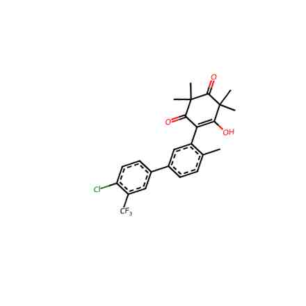 Cc1ccc(-c2ccc(Cl)c(C(F)(F)F)c2)cc1C1=C(O)C(C)(C)C(=O)C(C)(C)C1=O